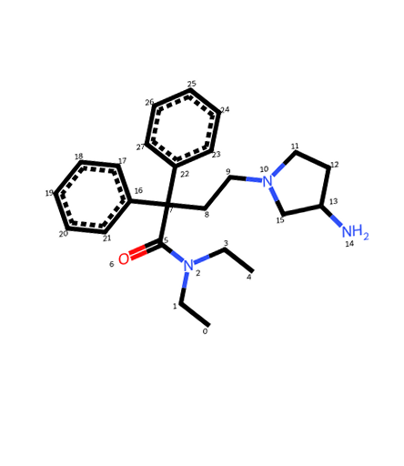 CCN(CC)C(=O)C(CCN1CCC(N)C1)(c1ccccc1)c1ccccc1